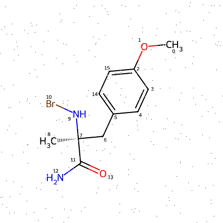 COc1ccc(C[C@](C)(NBr)C(N)=O)cc1